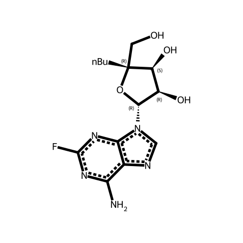 CCCC[C@]1(CO)O[C@@H](n2cnc3c(N)nc(F)nc32)[C@H](O)[C@@H]1O